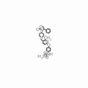 Cc1nc(Oc2ccc(NS(C)(=O)=O)cc2)ccc1CN1CCC(N2C(=O)OCC2c2ccccc2)CC1